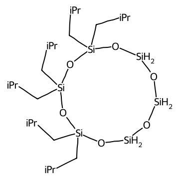 CC(C)C[Si]1(CC(C)C)O[SiH2]O[SiH2]O[SiH2]O[Si](CC(C)C)(CC(C)C)O[Si](CC(C)C)(CC(C)C)O1